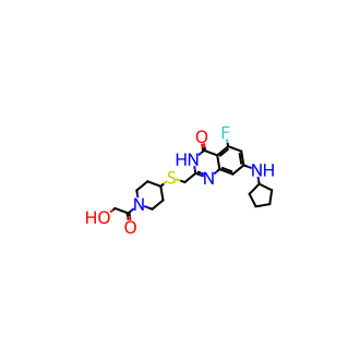 O=C(CO)N1CCC(SCc2nc3cc(NC4CCCC4)cc(F)c3c(=O)[nH]2)CC1